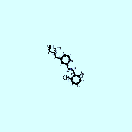 NC[C@@H](F)Cc1cccc(/C=C/c2c(Cl)cccc2Cl)c1